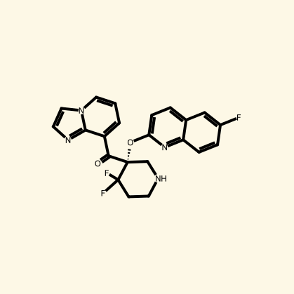 O=C(c1cccn2ccnc12)[C@@]1(Oc2ccc3cc(F)ccc3n2)CNCCC1(F)F